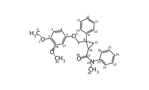 COc1ccc(OCC2(c3ccccc3)CC2C(=O)N(C)c2ccccc2)cc1OC